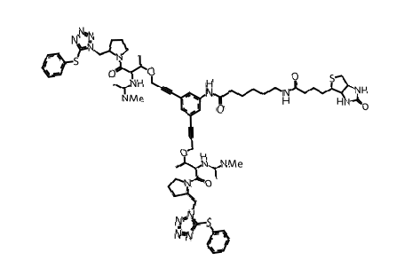 CNC(C)NC(C(=O)N1CCCC1Cn1nnnc1Sc1ccccc1)C(C)OCC#Cc1cc(C#CCOC(C)C(NC(C)NC)C(=O)N2CCCC2Cn2nnnc2Sc2ccccc2)cc(NC(=O)CCCCCNC(=O)CCCC2SCC3NC(=O)NC32)c1